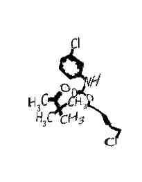 CC(=O)C(C)(C)C.O=C(Nc1cccc(Cl)c1)OCC#CCCl